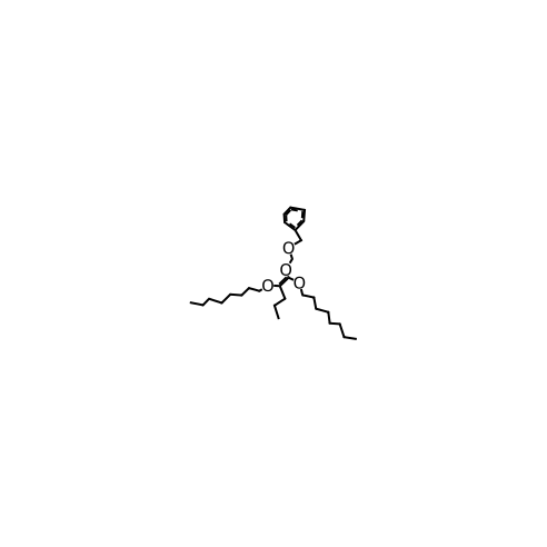 CCCCCCCCOC(CCC)=C(OCCCCCCCC)OCOCc1ccccc1